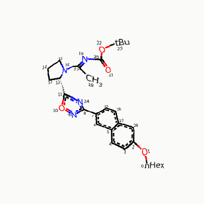 CCCCCCOc1ccc2cc(-c3noc([C@@H]4CCCN4/C(C)=N/C(=O)OC(C)(C)C)n3)ccc2c1